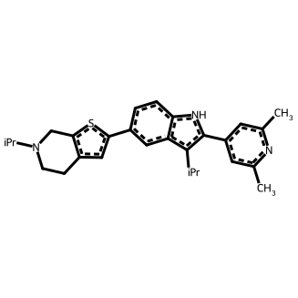 Cc1cc(-c2[nH]c3ccc(-c4cc5c(s4)CN(C(C)C)CC5)cc3c2C(C)C)cc(C)n1